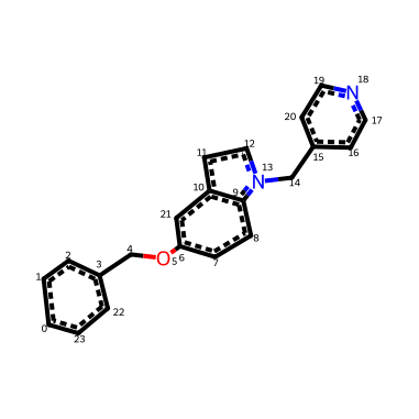 c1ccc(COc2ccc3c(ccn3Cc3ccncc3)c2)cc1